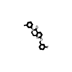 Cc1cccc(N2CCc3nc(OCc4cccc(F)c4)ccc3C2=O)c1